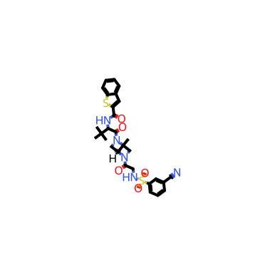 CC(C)(C)C(NC(=O)c1cc2ccccc2s1)C(=O)N1C[C@H]2N(C(=O)CNS(=O)(=O)c3cccc(C#N)c3)CC21C